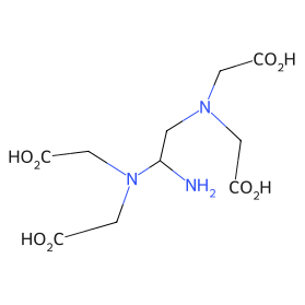 NC(CN(CC(=O)O)CC(=O)O)N(CC(=O)O)CC(=O)O